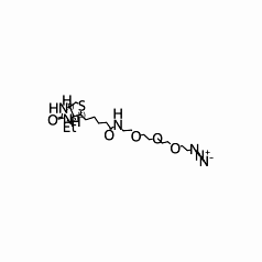 CCN1C(=O)N[C@H]2CS[C@@H](CCCCC(=O)NCCOCCOCCOCCN=[N+]=[N-])[C@H]21